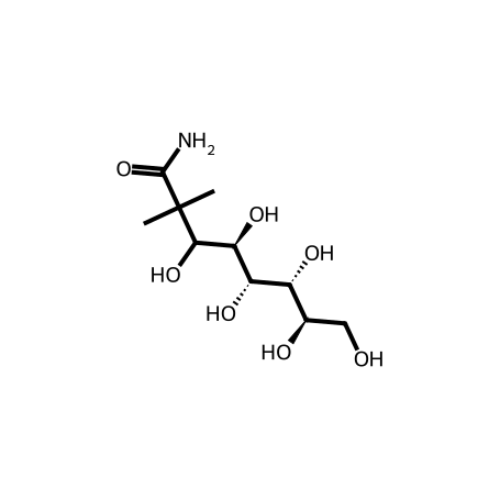 CC(C)(C(N)=O)C(O)[C@@H](O)[C@@H](O)[C@H](O)[C@H](O)CO